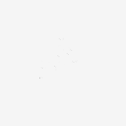 CNc1cc(Nc2cccnc2OC(C)C)nc2c(C(N)=O)cnn12